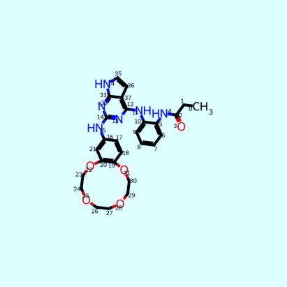 CCC(=O)Nc1ccccc1Nc1nc(Nc2ccc3c(c2)OCCOCCOCCO3)nc2[nH]ccc12